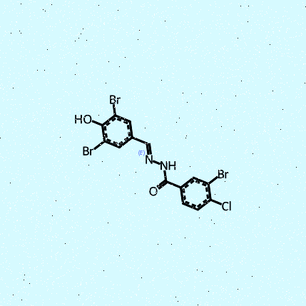 O=C(N/N=C/c1cc(Br)c(O)c(Br)c1)c1ccc(Cl)c(Br)c1